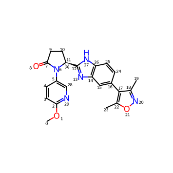 COc1ccc(N2C(=O)CC[C@H]2c2nc3cc(-c4c(C)noc4C)ccc3[nH]2)cn1